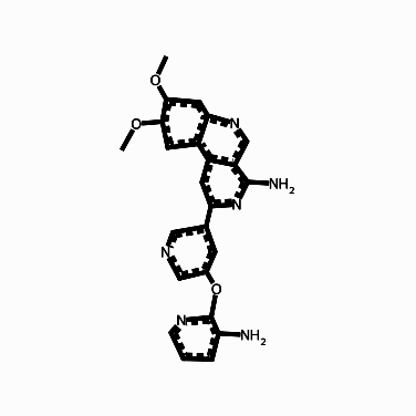 COc1cc2ncc3c(N)nc(-c4cncc(Oc5ncccc5N)c4)cc3c2cc1OC